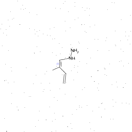 C=C/C(C)=C\NN